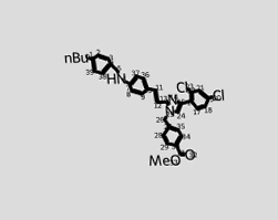 CCCCc1ccc(CNc2ccc(C=Cc3nc(-c4ccc(Cl)cc4Cl)cn3Cc3ccc(C(=O)OC)cc3)cc2)cc1